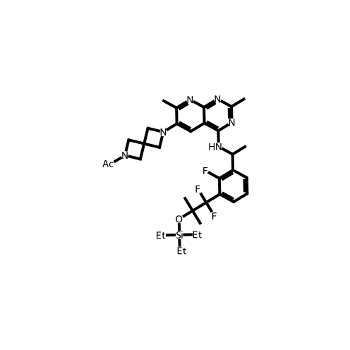 CC[Si](CC)(CC)OC(C)(C)C(F)(F)c1cccc(C(C)Nc2nc(C)nc3nc(C)c(N4CC5(CN(C(C)=O)C5)C4)cc23)c1F